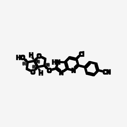 N#Cc1ccc(-c2nc3nc(O[C@@H]4CO[C@H]5[C@@H]4OC[C@H]5O)[nH]c3cc2Cl)cc1